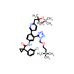 CC(C)(Cc1ccc(-c2ccc(NC(=O)C3(c4cccc(Cl)c4)CC3)cc2-c2nnnn2COCC[Si](C)(C)C)cn1)O[Si](C)(C)C